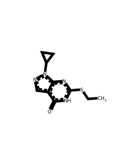 CCSc1nc2c(cnn2C2CC2)c(=O)[nH]1